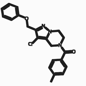 Cc1ccc(C(=O)N2CCn3nc(COc4ccccc4)c(Cl)c3C2)cc1